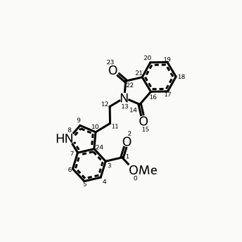 COC(=O)c1cccc2[nH]cc(CCN3C(=O)c4ccccc4C3=O)c12